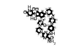 CN1CCN([C@@H]2CCCN(c3cnc(C(N)=O)c(Nc4ccc(N5CCN(C[C@@H]6CCCN(c7ccc8c(c7)C(=O)N(C7CCC(=O)NC7=O)C8O)C6)CC5)cc4)n3)C2)C1=O